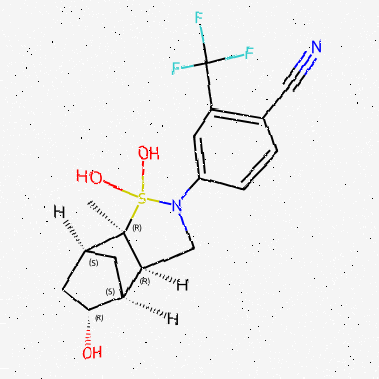 C[C@@]12[C@H]3C[C@H]([C@H](O)C3)[C@@H]1CN(c1ccc(C#N)c(C(F)(F)F)c1)S2(O)O